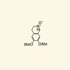 COc1cc2c(cc1OC)C[NH+]([O-])CC2